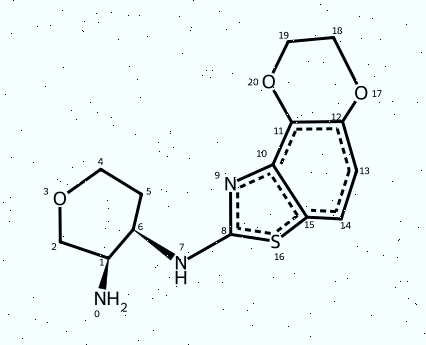 N[C@H]1COCC[C@H]1Nc1nc2c3c(ccc2s1)OCCO3